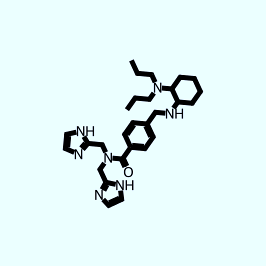 CCCN(CCC)C1CCCCC1NCc1ccc(C(=O)N(Cc2ncc[nH]2)Cc2ncc[nH]2)cc1